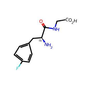 N[C@@H](Cc1ccc(F)cc1)C(=O)NCC(=O)O